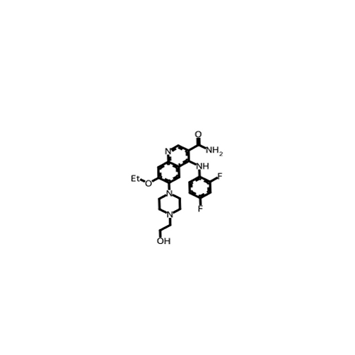 CCOc1cc2ncc(C(N)=O)c(Nc3ccc(F)cc3F)c2cc1N1CCN(CCO)CC1